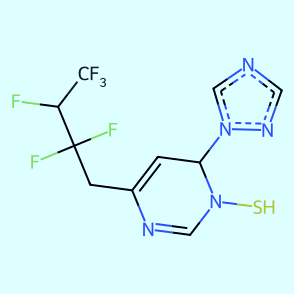 FC(C(F)(F)F)C(F)(F)CC1=CC(n2cncn2)N(S)C=N1